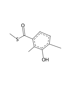 CSC(=O)c1ccc(C)c(O)c1C